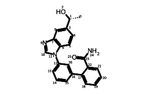 C[C@@H](O)c1ccc2c(c1)ncn2-c1cccc(-c2ccccc2C(N)=O)c1